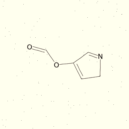 O=COC1=CCN=C1